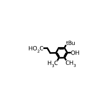 Cc1c(CCC(=O)O)cc(C(C)(C)C)c(O)c1C